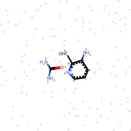 NC(N)=O.Nc1cccnc1C=O